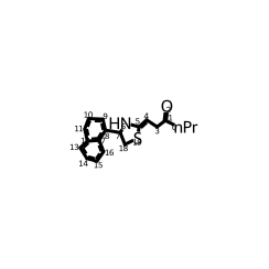 CCCC(=O)CC=C1NC(c2cccc3ccccc23)CS1